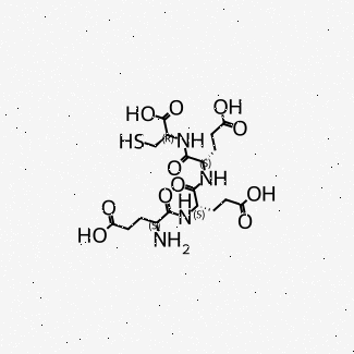 N[C@@H](CCC(=O)O)C(=O)N[C@@H](CCC(=O)O)C(=O)N[C@@H](CCC(=O)O)C(=O)N[C@@H](CS)C(=O)O